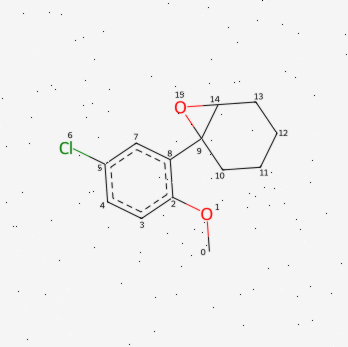 COc1ccc(Cl)cc1C12CCCCC1O2